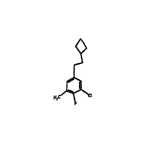 Cc1cc(CCC2CCC2)cc(Cl)c1F